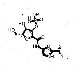 NC(=O)c1nc(NC(=O)C2O[C@H](CO)[C@@H](O)[C@H]2OP(=O)(O)O)c[nH]1